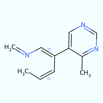 C=N/C=C(\C=C/C)c1cncnc1C